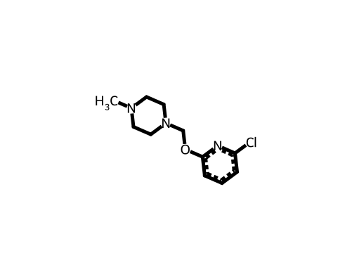 CN1CCN(COc2cccc(Cl)n2)CC1